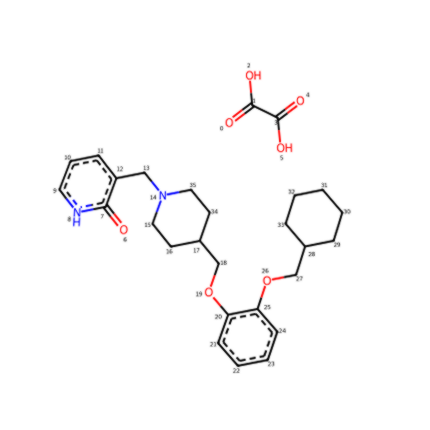 O=C(O)C(=O)O.O=c1[nH]cccc1CN1CCC(COc2ccccc2OCC2CCCCC2)CC1